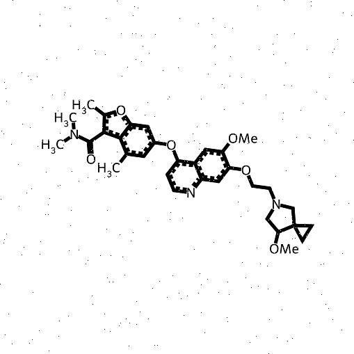 COc1cc2c(Oc3cc(C)c4c(C(=O)N(C)C)c(C)oc4c3)ccnc2cc1OCCN1CC(OC)C2(CC2)C1